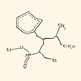 CCO[PH](=O)C(CC)C(c1ccccc1)C(C)C(=O)O